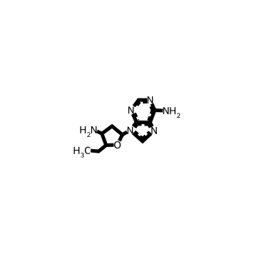 CCC1OC(n2cnc3c(N)ncnc32)CC1N